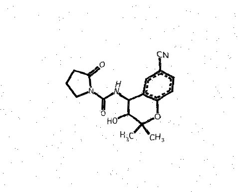 CC1(C)Oc2ccc(C#N)cc2C(NC(=O)N2CCCC2=O)C1O